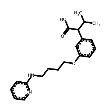 CC(C)C(C(=O)O)c1cccc(OCCCCNc2ccccn2)c1